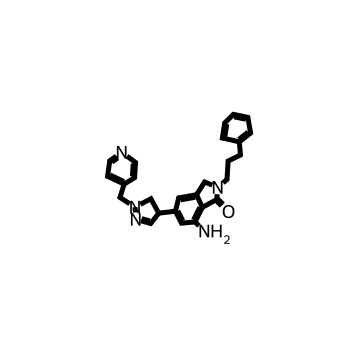 Nc1cc(C2C=NN(Cc3ccncc3)C2)cc2c1C(=O)N(CCCc1ccccc1)C2